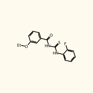 CCOc1cccc(C(=O)NC(=S)Nc2ccccc2F)c1